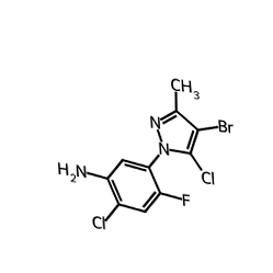 Cc1nn(-c2cc(N)c(Cl)cc2F)c(Cl)c1Br